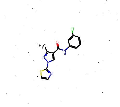 Cc1nn(-c2nccs2)cc1C(=O)Nc1cccc(Cl)c1